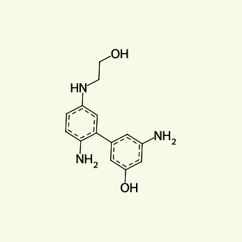 Nc1cc(O)cc(-c2cc(NCCO)ccc2N)c1